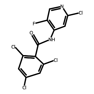 O=C(Nc1cc(Cl)ncc1F)c1c(Cl)cc(Cl)cc1Cl